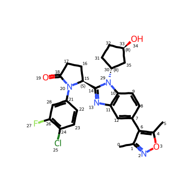 Cc1noc(C)c1-c1ccc2c(c1)nc([C@@H]1CCC(=O)N1c1ccc(Cl)c(F)c1)n2[C@@H]1CC[C@@H](O)C1